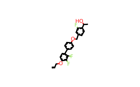 C=CCOc1ccc(-c2ccc(OCc3ccc(C(C)O)c(F)c3)cc2)c(F)c1F